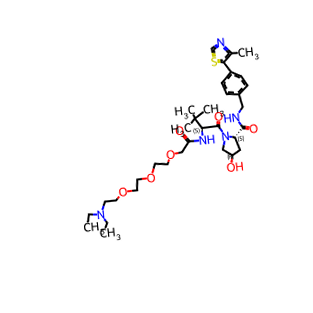 CCN(CC)CCOCCOCCOCC(=O)N[C@H](C(=O)N1C[C@H](O)C[C@H]1C(=O)NCc1ccc(-c2scnc2C)cc1)C(C)(C)C